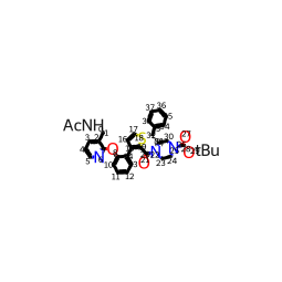 CC(=O)NCc1cccnc1Oc1ccccc1-c1ccsc1C(=O)N1CCN(C(=O)OC(C)(C)C)C[C@H]1Cc1ccccc1